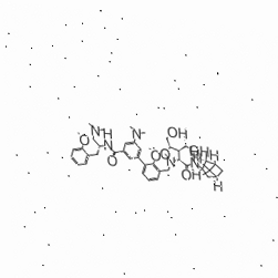 COc1ccccc1C[C@@H](CN(C)C)NC(=O)c1cc(-c2cccc(CN3O[C@@H](CO)[C@@H]([C@H](C)O)[C@H]3C(=O)N[C@H]3C[C@H]4C[C@@H]([C@@H]3C)C4(C)C)c2OC)cc(N(C)C)c1